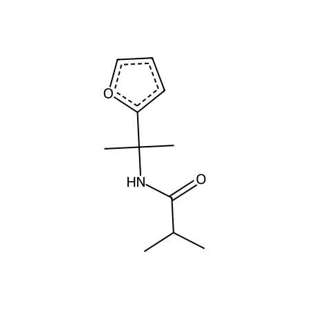 CC(C)C(=O)NC(C)(C)c1ccco1